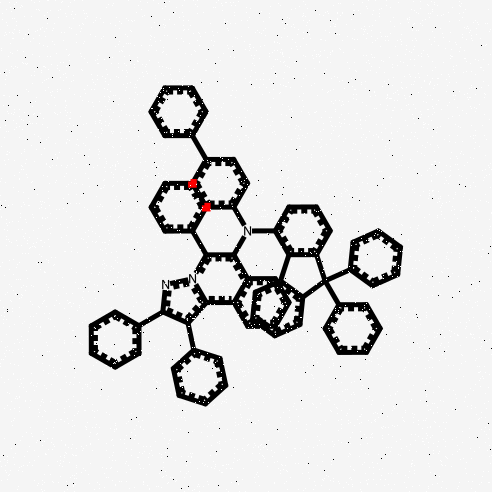 c1ccc(-c2ccc(N(c3cccc4c3-c3ccccc3C4(c3ccccc3)c3ccccc3)c3c(-c4ccccc4)n4nc(-c5ccccc5)c(-c5ccccc5)c4c4ccccc34)cc2)cc1